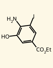 CCOC(=O)c1cc(O)c(N)c(I)c1